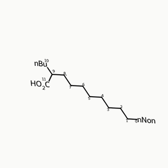 CCCCCCCCCCCCCCCC[CH]C(CCCC)C(=O)O